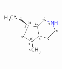 CC[C@@H]1C[C@H](C)C2CCNCC21